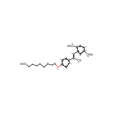 CCCCCCCCCCCCCCCCCCOc1ccc(C(C#N)=Cc2cc(OC)ccc2OC)cc1